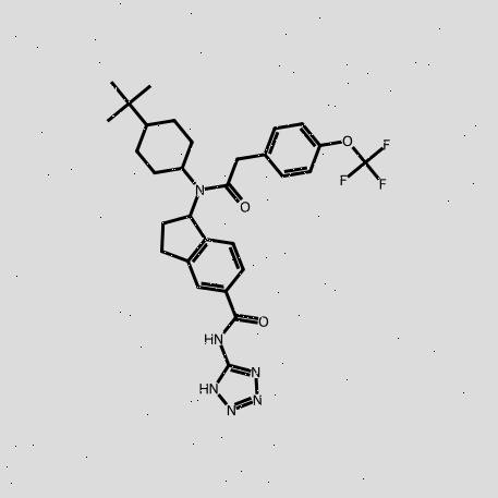 CC(C)(C)C1CCC(N(C(=O)Cc2ccc(OC(F)(F)F)cc2)C2CCc3cc(C(=O)Nc4nnn[nH]4)ccc32)CC1